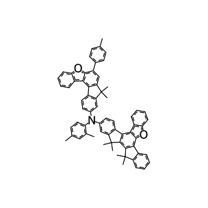 Cc1ccc(-c2cc3c(c4c2oc2ccccc24)-c2ccc(N(c4ccc5c(c4)C(C)(C)c4c6c(c7oc8ccccc8c7c4-5)-c4ccccc4C6(C)C)c4ccc(C)cc4C)cc2C3(C)C)cc1